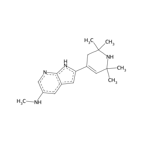 CNc1cnc2[nH]c(C3=CC(C)(C)NC(C)(C)C3)cc2c1